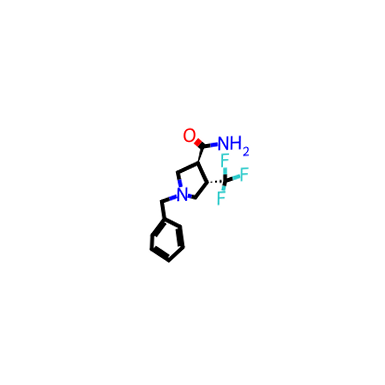 NC(=O)[C@@H]1CN(Cc2ccccc2)C[C@H]1C(F)(F)F